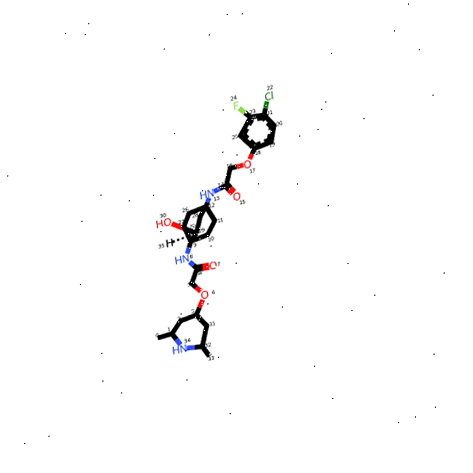 CC1CC(OCC(=O)NC23CCC(NC(=O)COc4ccc(Cl)c(F)c4)(CC2)C[C@@H]3O)CC(C)N1